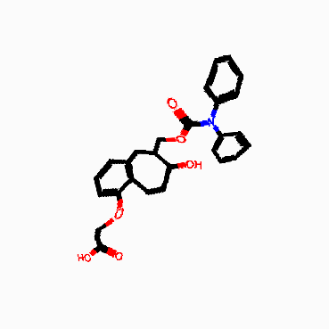 O=C(O)COc1cccc2c1CCC(O)C(COC(=O)N(c1ccccc1)c1ccccc1)C2